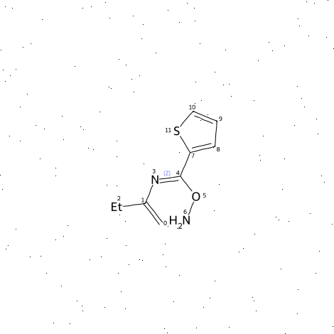 C=C(CC)/N=C(\ON)c1cccs1